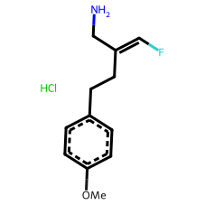 COc1ccc(CC/C(=C\F)CN)cc1.Cl